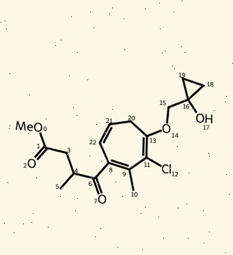 COC(=O)CC(C)C(=O)C1=C(C)C(Cl)=C(OCC2(O)CC2)CC=C1